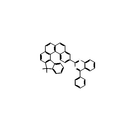 CC1(C)c2ccccc2-c2c1ccc1ccc3ccc4cc(-c5nc(-c6ccccc6)c6ccccc6n5)ccc4c3c21